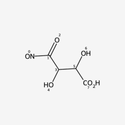 O=NC(=O)C(O)C(O)C(=O)O